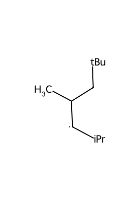 CC(C)[CH]C(C)CC(C)(C)C